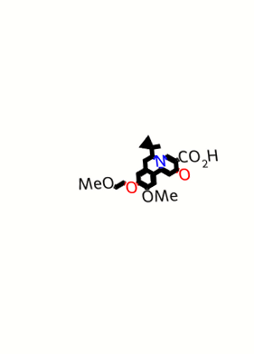 COCCOc1cc2c(cc1OC)-c1cc(=O)c(C(=O)O)cn1C(C1(C)C=C1)C2